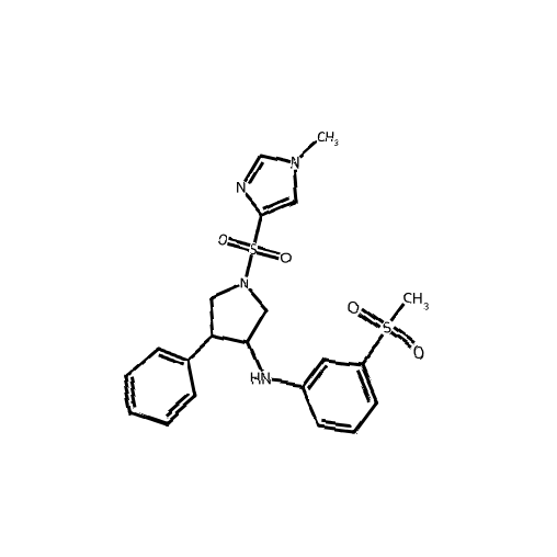 Cn1cnc(S(=O)(=O)N2CC(Nc3cccc(S(C)(=O)=O)c3)C(c3ccccc3)C2)c1